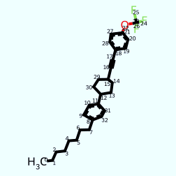 CCCCCCCCc1ccc(C2CCC(C#Cc3ccc(OC(F)(F)F)cc3)CC2)cc1